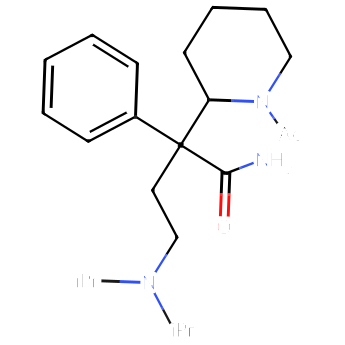 CC(=O)N1CCCCC1C(CCN(C(C)C)C(C)C)(C(N)=O)c1ccccc1